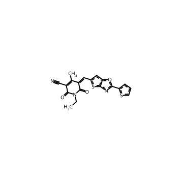 CCN1C(=O)C(C#N)=C(C)/C(=C/c2cc3oc(-c4cccs4)nc3s2)C1=O